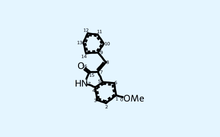 COc1ccc2c(c1)C(=Cc1ccccc1)C(=O)N2